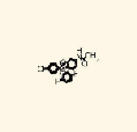 CC(=O)N[C@H]1CC[C@@](c2cc(F)ccc2F)(S(=O)(=O)c2ccc(Cl)cc2)CC1